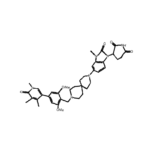 COc1cc(-c2cn(C)c(=O)c(C)c2C)cc(OC)c1CN1CCC2(CC1)CCN(c1ccc3c(c1)n(C)c(=O)n3C1CCC(=O)NC1=O)CC2